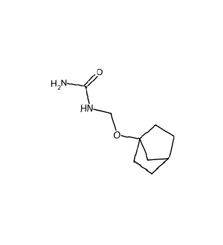 NC(=O)NCOC12CCC(CC1)C2